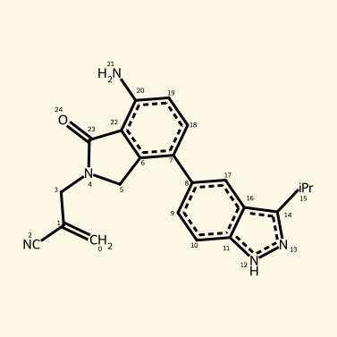 C=C(C#N)CN1Cc2c(-c3ccc4[nH]nc(C(C)C)c4c3)ccc(N)c2C1=O